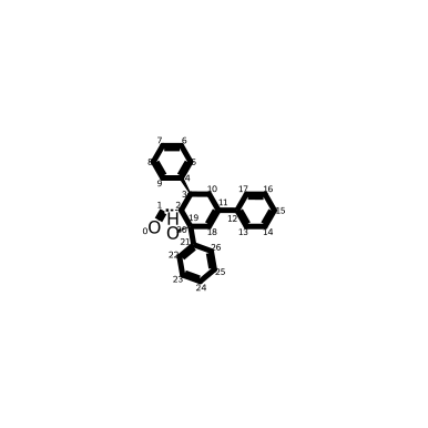 O=C[C@@H]1[C@@H](c2ccccc2)CC(c2ccccc2)=C[C@@]1(O)c1ccccc1